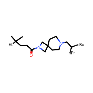 CCCCC(CCC)CN1CCC2(CC1)CN(C(=O)CCC(C)(C)CC)C2